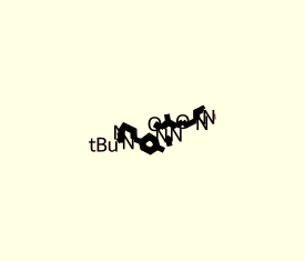 Cc1ccc(-c2ccnc(C(C)(C)C)n2)cc1-n1c(C)nc(OCc2ccn(C)n2)c(C)c1=O